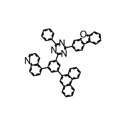 c1ccc(-c2nc(-c3cc(-c4cccc5ncccc45)cc(-c4cc5ccccc5c5ccccc45)c3)nc(-c3ccc4c(c3)oc3ccccc34)n2)cc1